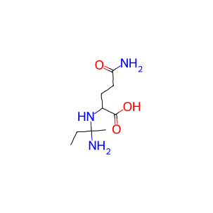 CCC(C)(N)NC(CCC(N)=O)C(=O)O